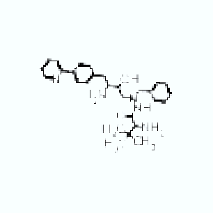 CC(C)(C)C(N)C(=O)NN(Cc1ccccc1)CC(O)C(N)Cc1ccc(-c2ccccn2)cc1